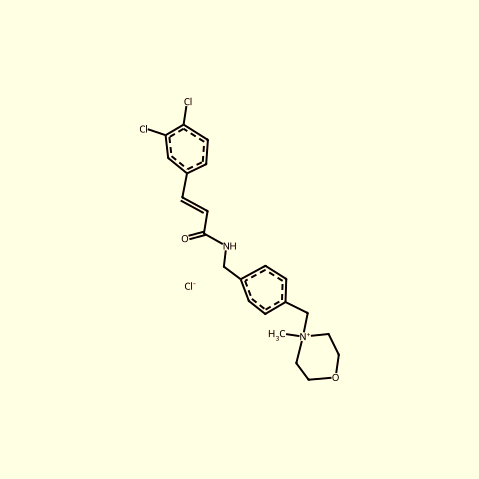 C[N+]1(Cc2ccc(CNC(=O)/C=C/c3ccc(Cl)c(Cl)c3)cc2)CCOCC1.[Cl-]